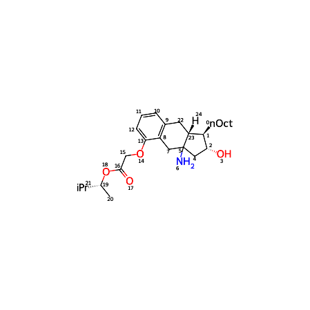 CCCCCCCC[C@H]1[C@H](O)CC2(N)Cc3c(cccc3OCC(=O)O[C@H](C)C(C)C)C[C@H]12